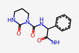 [NH]C(=O)C(NC(=O)N1CCCNC1=O)c1ccccc1